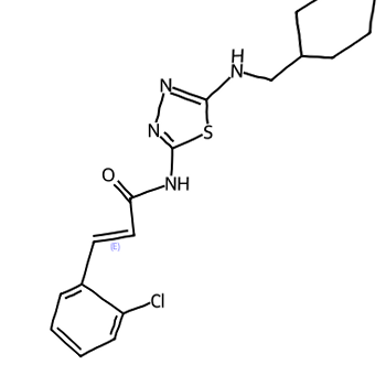 O=C(/C=C/c1ccccc1Cl)Nc1nnc(NCC2CCCCC2)s1